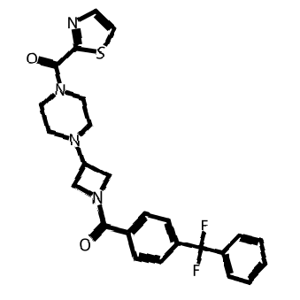 O=C(c1ccc(C(F)(F)c2ccccc2)cc1)N1CC(N2CCN(C(=O)c3nccs3)CC2)C1